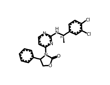 C[C@@H](Nc1nccc(N2C(=O)OCC2c2ccccc2)n1)c1ccc(Cl)c(Cl)c1